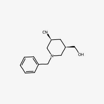 [C-]#[N+][C@H]1C[C@@H](CO)CN(Cc2ccccc2)C1